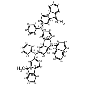 C=C1c2ccccc2-c2ccc(N(c3ccccc3)c3ccc4c(c3)c3cc(N(c5ccccc5)c5ccc6c(c5)C(=C)c5ccccc5-6)ccc3n4-c3cccc4ccccc34)cc21